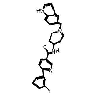 O=C(NC1CCN(Cc2ccc3[nH]ccc3c2)CC1)c1ccc(-c2cccc(F)c2)nc1